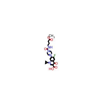 COC(=O)CCCNC(=O)N1CCN(c2cc3c(cc2F)c(=O)c(C(=O)O)cn3C2CC2)CC1